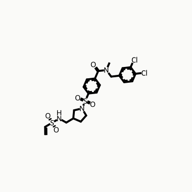 C=CS(=O)(=O)NCC1CCN(S(=O)(=O)c2ccc(C(=O)N(C)Cc3ccc(Cl)c(Cl)c3)cc2)C1